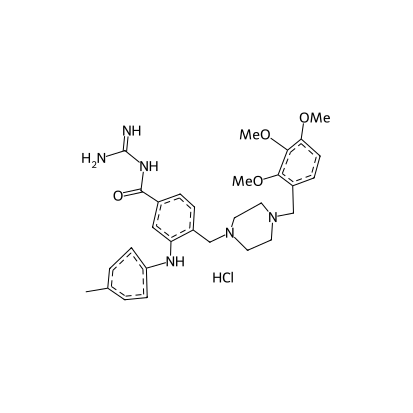 COc1ccc(CN2CCN(Cc3ccc(C(=O)NC(=N)N)cc3Nc3ccc(C)cc3)CC2)c(OC)c1OC.Cl